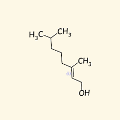 C/C(=C\CO)CCCC(C)C